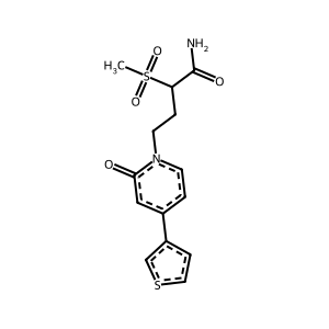 CS(=O)(=O)C(CCn1ccc(-c2ccsc2)cc1=O)C(N)=O